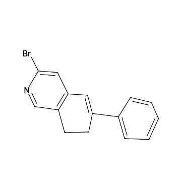 Brc1cc2c(cn1)CCC(c1ccccc1)=C2